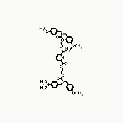 COc1ccc(CN(Cc2ccc(N(C)C)cc2)C(=O)OCCOC(=O)c2cccc(C(=O)OCCOC(=O)N(Cc3ccc(OC)cc3)Cc3ccc(N(C)C)cc3)n2)cc1